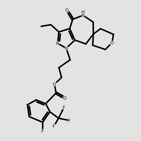 CCc1nn(CCCOC(=O)c2cccc(F)c2C(F)(F)F)c2c1C(=O)NCC1(CCOCC1)C2